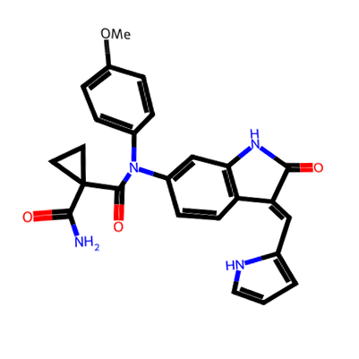 COc1ccc(N(C(=O)C2(C(N)=O)CC2)c2ccc3c(c2)NC(=O)C3=Cc2ccc[nH]2)cc1